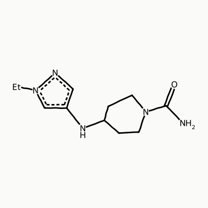 CCn1cc(NC2CCN(C(N)=O)CC2)cn1